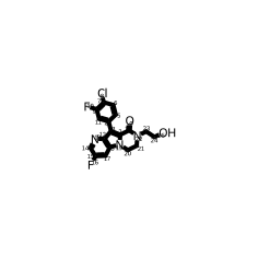 O=C1c2c(-c3ccc(Cl)c(F)c3)c3ncc(F)cc3n2CCN1CCO